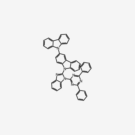 c1ccc(-c2nc(-c3ccccc3)nc(-n3c(-n4c5ccccc5c5cc(-n6c7ccccc7c7ccccc76)ccc54)nc4ccccc43)n2)cc1